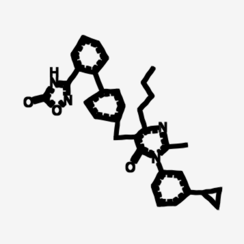 CCCCc1nc(C)n(-c2cccc(C3CC3)c2)c(=O)c1Cc1ccc(-c2ccccc2-c2noc(=O)[nH]2)cc1